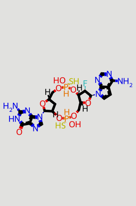 Nc1nc2c(ncn2[C@@H]2O[C@@H]3CO[PH](O)(S)O[C@H]4[C@H](F)[C@H](n5ccc6c(N)ncnc65)O[C@@H]4CO[PH](O)(S)O[C@@H]2C3)c(=O)[nH]1